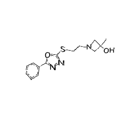 CC1(O)CN(CCSc2nnc(-c3ccccc3)o2)C1